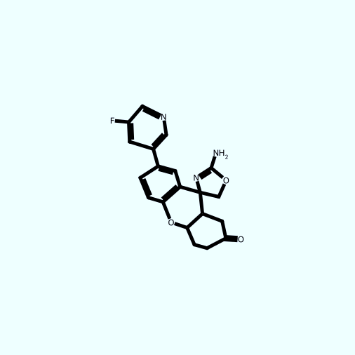 NC1=NC2(CO1)c1cc(-c3cncc(F)c3)ccc1OC1CCC(=O)CC12